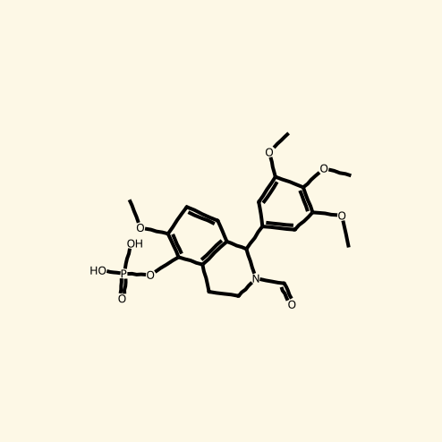 COc1cc(C2c3ccc(OC)c(OP(=O)(O)O)c3CCN2C=O)cc(OC)c1OC